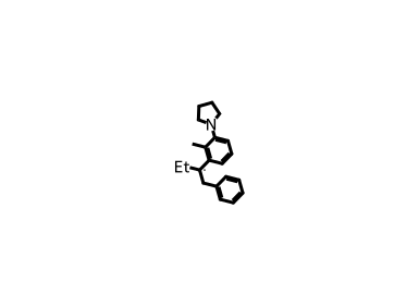 CC[C](Cc1ccccc1)c1cccc(N2CCCC2)c1C